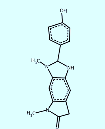 CN1C(=O)Cc2cc3c(cc21)N(C)C(c1ccc(O)cc1)N3